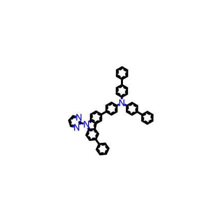 c1ccc(-c2ccc(N(c3ccc(-c4ccccc4)cc3)c3ccc(-c4ccc5c(c4)c4cc(-c6ccccc6)ccc4n5-c4ncccn4)cc3)cc2)cc1